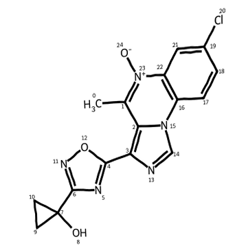 Cc1c2c(-c3nc(C4(O)CC4)no3)ncn2c2ccc(Cl)cc2[n+]1[O-]